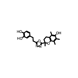 Cc1c(C)c2c(c(C)c1O)CCC(C)(c1nnc(CCc3ccc(O)c(O)c3)o1)O2